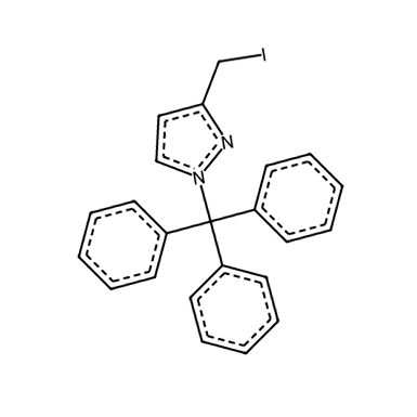 ICc1ccn(C(c2ccccc2)(c2ccccc2)c2ccccc2)n1